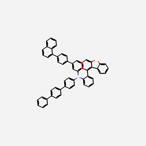 c1ccc(-c2ccc(-c3ccc(N(c4cccc(-c5ccc(-c6cccc7ccccc67)cc5)c4)c4ccccc4-c4cccc5oc6ccccc6c45)cc3)cc2)cc1